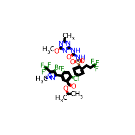 CC(C)OC(=O)c1cc(-c2nn(C)c(C(F)(F)F)c2Br)c(F)cc1Cl.COc1nc(C)nc(NC(=O)NS(=O)(=O)c2ccccc2CCC(F)(F)F)n1